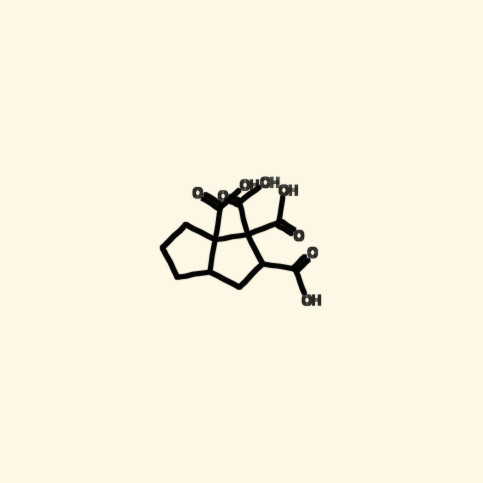 O=C(O)C1CC2CCCC2(C(=O)O)C1(C(=O)O)C(=O)O